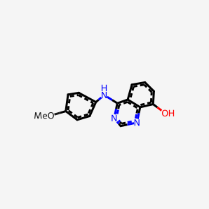 COc1ccc(Nc2ncnc3c(O)cccc23)cc1